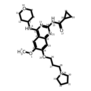 COc1cc2c(NC3CCOCC3)nc(NC(=O)C3CC3)nc2cc1OCCCN1CCCC1